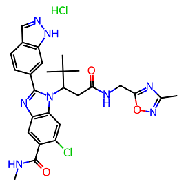 CNC(=O)c1cc2nc(-c3ccc4cn[nH]c4c3)n(C(CC(=O)NCc3nc(C)no3)C(C)(C)C)c2cc1Cl.Cl